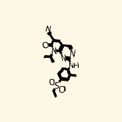 CCS(=O)(=O)c1ccc(Nc2ncc3cc(C#N)c(=O)n(C(C)C)c3n2)c(C)c1